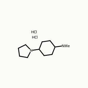 CNC1CCC(N2CCCC2)CC1.Cl.Cl